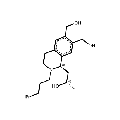 CC(C)CCCN1CCc2cc(CO)c(CO)cc2[C@H]1C[C@H](C)O